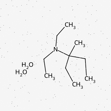 CCN(CC)C(C)(CC)CC.O.O